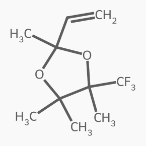 C=CC1(C)OC(C)(C)C(C)(C(F)(F)F)O1